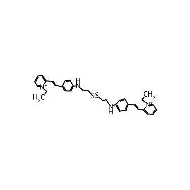 CC[n+]1ccccc1/C=C/c1ccc(NCCSSCCNc2ccc(/C=C/c3cccc[n+]3CC)cc2)cc1